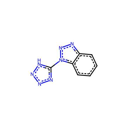 c1ccc2c(c1)nnn2-c1nnn[nH]1